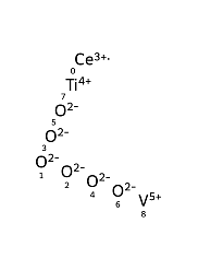 [Ce+3].[O-2].[O-2].[O-2].[O-2].[O-2].[O-2].[Ti+4].[V+5]